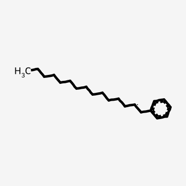 CCCCCCCCCCCCC[CH]Cc1ccccc1